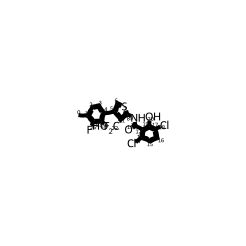 Cc1ccc(-c2csc(NC(=O)c3c(Cl)ccc(Cl)c3O)c2C(=O)O)c(F)c1F